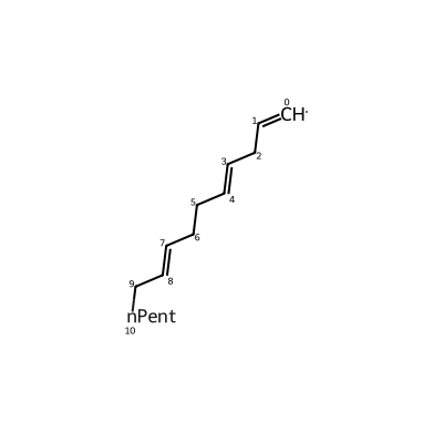 [CH]=CCC=CCCC=CCCCCCC